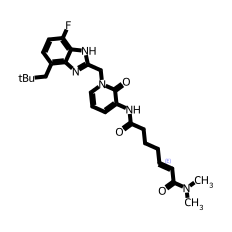 CN(C)C(=O)/C=C/CCCC(=O)Nc1cccn(Cc2nc3c(CC(C)(C)C)ccc(F)c3[nH]2)c1=O